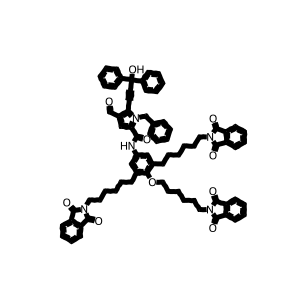 O=Cc1cc(C(=O)Nc2cc(CCCCCCN3C(=O)c4ccccc4C3=O)c(OCCCCCCN3C(=O)c4ccccc4C3=O)c(CCCCCCN3C(=O)c4ccccc4C3=O)c2)n(Cc2ccccc2)c1C#CC(O)(c1ccccc1)c1ccccc1